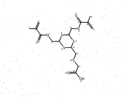 C=C(C)C(=O)OCC1SC(COC(=O)C(=C)C)SC(CSCC(=O)O)S1